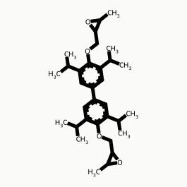 CC(C)c1cc(-c2cc(C(C)C)c(OCC3OC3C)c(C(C)C)c2)cc(C(C)C)c1OCC1OC1C